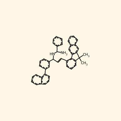 CC1(C)c2cc3ccccc3cc2-c2c(/C=C/C(NC(N)c3ccccc3)c3cccc(-c4cccc5ccccc45)c3)cccc21